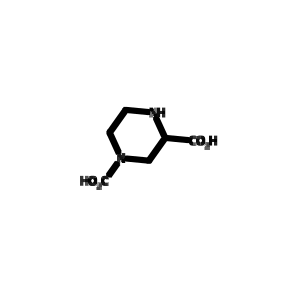 O=C(O)C1CN(C(=O)O)CCN1